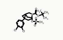 CC(C)(C)OC(=O)N1CCC2(c3ccc(Cl)c(Cl)c3)CC2(CCOS(C)(=O)=O)C1